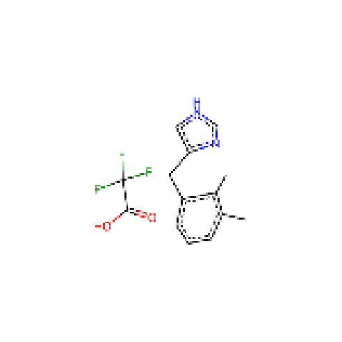 Cc1cccc(Cc2c[nH]cn2)c1C.O=C(O)C(F)(F)F